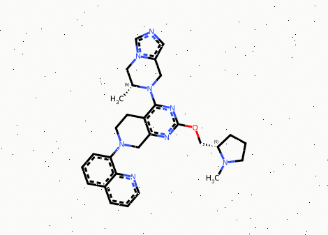 C[C@@H]1Cn2cncc2CN1c1nc(OC[C@@H]2CCCN2C)nc2c1CCN(c1cccc3cccnc13)C2